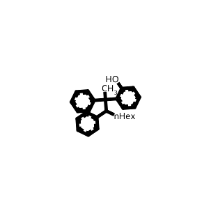 CCCCCCC(c1ccccc1)C(C)(c1ccccc1)c1ccccc1O